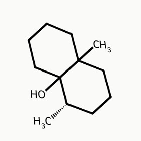 C[C@H]1CCCC2(C)CCCCC12O